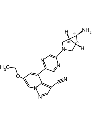 CCOc1cc(-c2cnc(N3C[C@@H]4[C@@H](N)[C@@H]4C3)cn2)c2c(C#N)cnn2c1